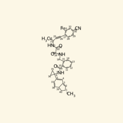 C[C@H]1C=C2C=C(C3(NC(=O)c4ccccc4CNC(=O)C(=O)N[C@@H](C)C#Cc4ccc(C#N)cc4F)CC3)C=CC2C1